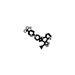 O=C(O)c1ccc(N2CCC3(C=C(c4c(-c5ncccc5Cl)noc4C4CC4)C3)CC2)nc1